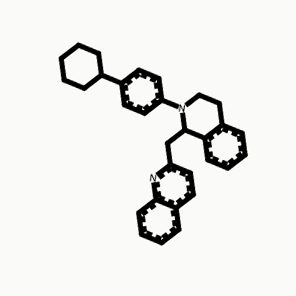 c1ccc2c(c1)CCN(c1ccc(C3CCCCC3)cc1)C2Cc1ccc2ccccc2n1